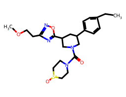 CCc1ccc(C2CC(c3nc(CCOC)no3)CN(C(=O)N3CC[S+]([O-])CC3)C2)cc1